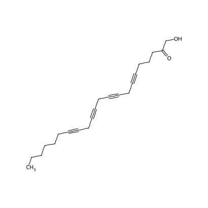 CCCCCCC#CCC#CCC#CCC#CCCCC(=O)CO